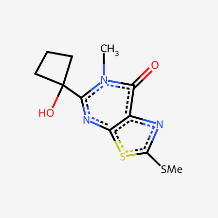 CSc1nc2c(=O)n(C)c(C3(O)CCC3)nc2s1